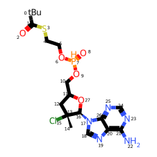 CC(C)(C)C(=O)SCCO[PH](=O)OCC1C[C@@](C)(Cl)[C@H](n2cnc3c(N)ncnc32)O1